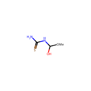 COC(O)NC(N)=S